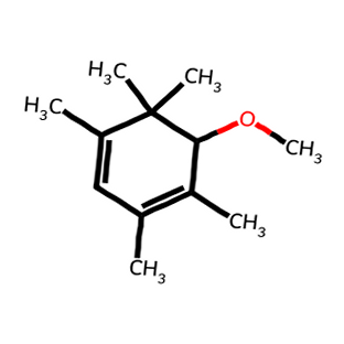 COC1C(C)=C(C)C=C(C)C1(C)C